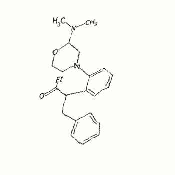 CCC(=O)C(Cc1ccccc1)c1ccccc1N1CCOC(N(C)C)C1